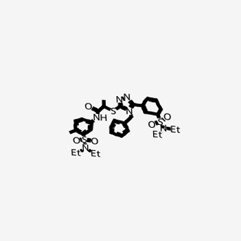 CCN(CC)S(=O)(=O)c1cc(NC(=O)C(C)Sc2nnc(C3=CC(S(=O)(=O)N(CC)CC)CC=C3)n2Cc2ccccc2)ccc1C